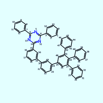 c1ccc(-c2nc(-c3ccccc3)nc(-c3cccc(-c4cccc(-c5cc(-c6ccccc6)c(-c6ccccc6)c(-c6ccccc6)c5)c4)c3)n2)cc1